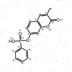 Cc1cc2ccc(OP(=O)(O)c3ccccc3)cc2oc1=O